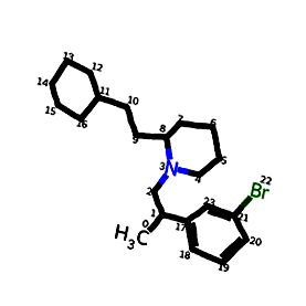 CC(CN1CCCCC1CCC1CCCCC1)c1cccc(Br)c1